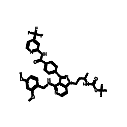 COc1ccc(CNc2nccc3c2c(-c2ccc(C(=O)Nc4cc(C(F)(F)F)ccn4)cc2)nn3CCC(C)NC(=O)OC(C)(C)C)c(OC)c1